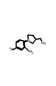 Nc1cc(Cl)ccc1N1CCC(CO)C1